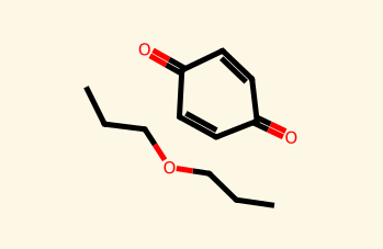 CCCOCCC.O=C1C=CC(=O)C=C1